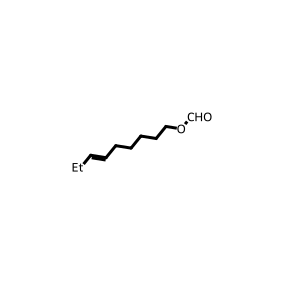 CC/C=C/CCCCCOC=O